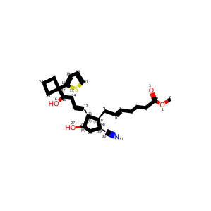 COC(=O)CCCC=CC[C@@H]1[C@@H](C=CCC(O)C2(c3cccs3)CCC2)[C@H](O)C[C@H]1C#N